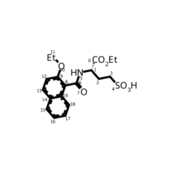 CCOC(=O)[C@H](CCS(=O)(=O)O)NC(=O)c1c(OCC)ccc2ccccc12